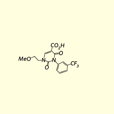 COCCn1cc(C(=O)O)c(=O)n(-c2cccc(C(F)(F)F)c2)c1=O